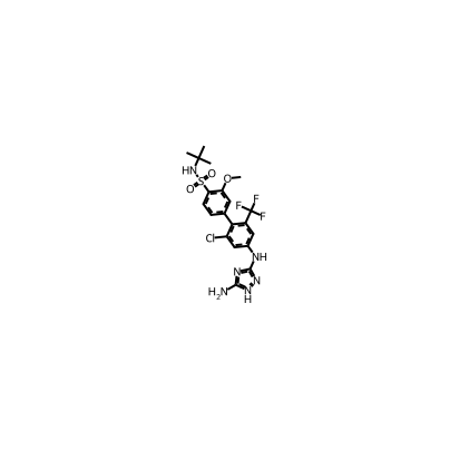 COc1cc(-c2c(Cl)cc(Nc3n[nH]c(N)n3)cc2C(F)(F)F)ccc1S(=O)(=O)NC(C)(C)C